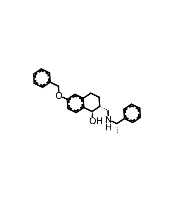 C[C@H](NC[C@H]1CCc2cc(OCc3ccccc3)ccc2[C@@H]1O)c1ccccc1